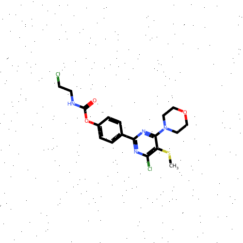 CSc1c(Cl)nc(-c2ccc(OC(=O)NCCCl)cc2)nc1N1CCOCC1